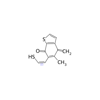 C=C1C(C)=C(/C=C\S)C(=O)c2sccc21